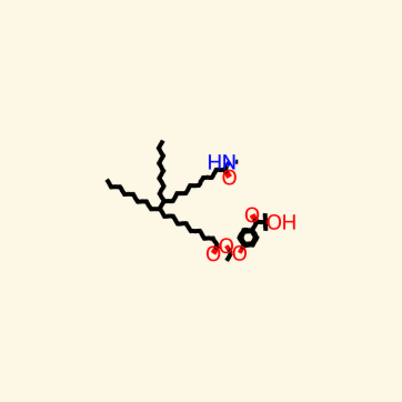 CCCCCCCCC(CCCCCCCCC(=O)NC)C(CCCCCCCC)CCCCCCCCC(=O)OC(C)Oc1ccc(C(=O)C(C)(C)O)cc1